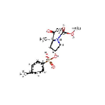 COC(=O)[C@]1(C)C[C@@H](OS(=O)(=O)c2ccc(C)cc2)CN1C(=O)OC(C)(C)C